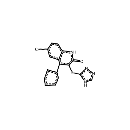 O=c1[nH]c2ccc(Cl)cc2c(-c2ccccc2)c1Sc1nnc[nH]1